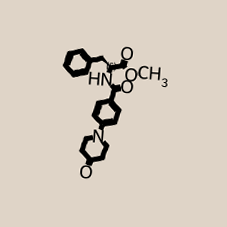 COC(=O)[C@H](Cc1ccccc1)NC(=O)c1ccc(N2CCC(=O)CC2)cc1